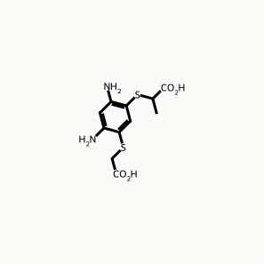 CC(Sc1cc(SCC(=O)O)c(N)cc1N)C(=O)O